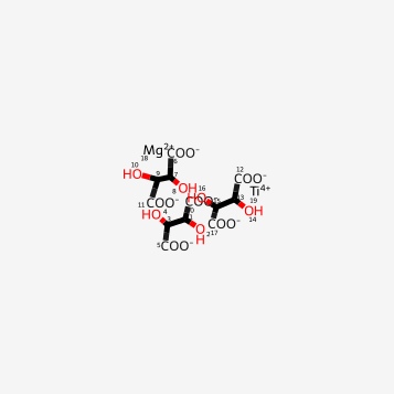 O=C([O-])C(O)C(O)C(=O)[O-].O=C([O-])C(O)C(O)C(=O)[O-].O=C([O-])C(O)C(O)C(=O)[O-].[Mg+2].[Ti+4]